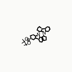 CC1(C)OB(c2ccc3c(c2)c2ccccc2n3-c2cccc3c4ccccc4n(-c4ccccc4)c23)OC1(C)C